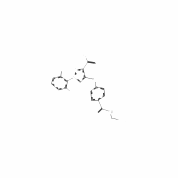 CCNC(=O)c1ccc(Nc2cn(-c3c(F)cccc3Cl)nc2C(N)=O)cc1